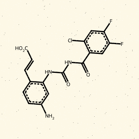 Nc1ccc(C=CC(=O)O)c(NC(=O)NC(=O)c2cc(F)c(F)cc2Cl)c1